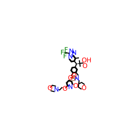 Cc1ccc([C@@H](c2ccn3c(C(F)(F)F)nnc3c2C)C(C)(C)C(=O)O)cc1CN1CC2(CCOCC2)Oc2nc(OCCN3CCOCC3)ccc2S1(=O)=O